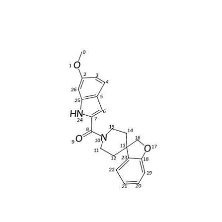 COc1ccc2cc(C(=O)N3CCC4(CC3)COc3ccccc34)[nH]c2c1